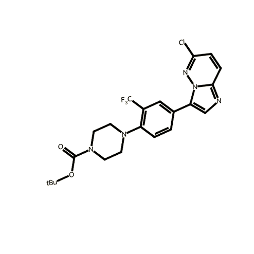 CC(C)(C)OC(=O)N1CCN(c2ccc(-c3cnc4ccc(Cl)nn34)cc2C(F)(F)F)CC1